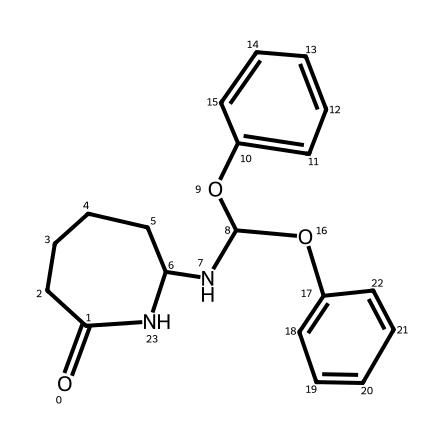 O=C1CCCCC(NC(Oc2ccccc2)Oc2ccccc2)N1